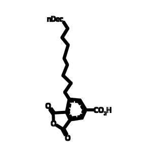 [CH2]CCCCCCCCCCCCCCCCCc1cc(C(=O)O)cc2c1C(=O)OC2=O